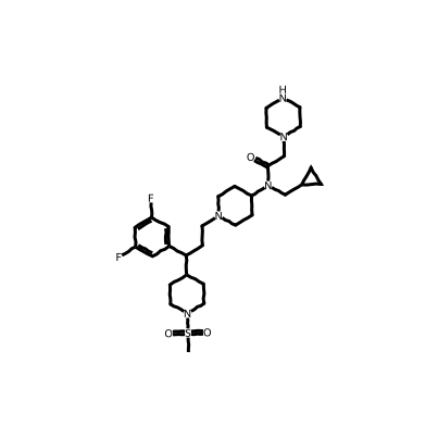 CS(=O)(=O)N1CCC(C(CCN2CCC(N(CC3CC3)C(=O)CN3CCNCC3)CC2)c2cc(F)cc(F)c2)CC1